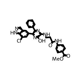 COC(=O)c1ccc(NC(=O)CCNc2nc(-c3ccccc3)c(-c3cc(Cl)c4[nH]ncc4c3)nc2O)cc1